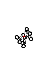 c1ccc(-n2c3ccccc3c3ccc4c5ccccc5n(-c5cccc(-c6nc7ccccc7c7ccc8c9ccccc9oc8c67)c5)c4c32)cc1